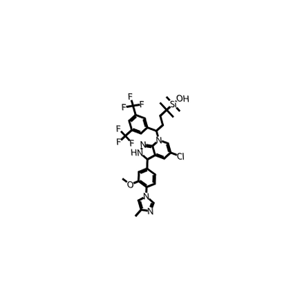 COc1cc(C2NN=C3C2=CC(Cl)=CN3C(CCC(C)(C)[Si](C)(C)O)c2cc(C(F)(F)F)cc(C(F)(F)F)c2)ccc1-n1cnc(C)c1